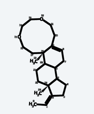 C/C=C1/CCC2C3CC=C4CCOCCOCC[C@]4(C)C3CC[C@]12C